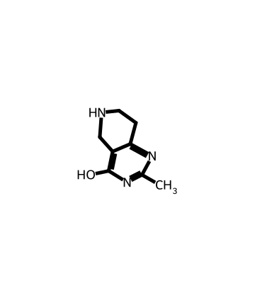 Cc1nc(O)c2c(n1)CCNC2